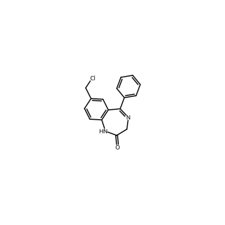 O=C1CN=C(c2ccccc2)c2cc(CCl)ccc2N1